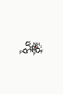 CC1(C(N)=O)C(c2cccs2)C(c2ccc(F)cc2)=NN1c1ccc(F)cc1F